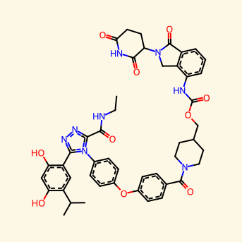 CCNC(=O)c1nnc(-c2cc(C(C)C)c(O)cc2O)n1-c1ccc(Oc2ccc(C(=O)N3CCC(COC(=O)Nc4cccc5c4CN(C4CCC(=O)NC4=O)C5=O)CC3)cc2)cc1